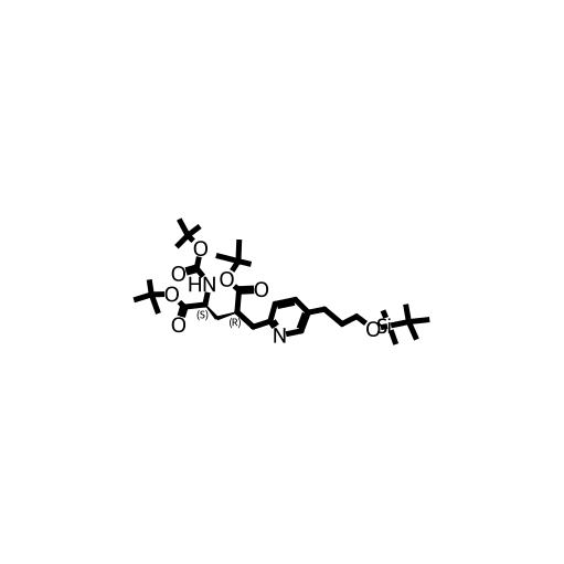 CC(C)(C)OC(=O)N[C@@H](C[C@H](Cc1ccc(CCCO[Si](C)(C)C(C)(C)C)cn1)C(=O)OC(C)(C)C)C(=O)OC(C)(C)C